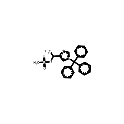 CC(OS(C)(=O)=O)c1cn(C(c2ccccc2)(c2ccccc2)c2ccccc2)cn1